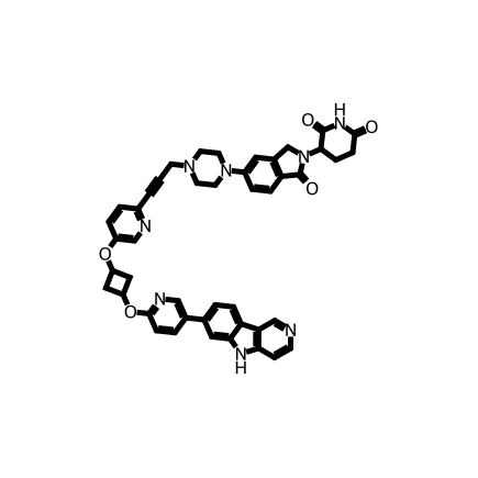 O=C1CCC(N2Cc3cc(N4CCN(CC#Cc5ccc(OC6CC(Oc7ccc(-c8ccc9c(c8)[nH]c8ccncc89)cn7)C6)cn5)CC4)ccc3C2=O)C(=O)N1